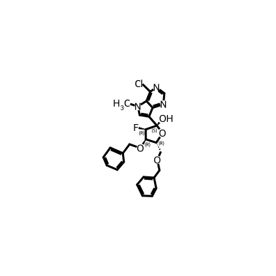 Cn1cc([C@]2(O)O[C@H](COCc3ccccc3)[C@@H](OCc3ccccc3)[C@H]2F)c2ncnc(Cl)c21